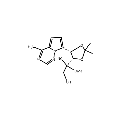 COC(C#N)(CO)[C@H]1OC(C)(C)O[C@H]1c1ccc2c(N)ncnn12